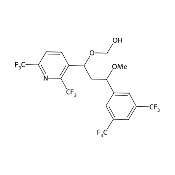 COC(CC(OCO)c1ccc(C(F)(F)F)nc1C(F)(F)F)c1cc(C(F)(F)F)cc(C(F)(F)F)c1